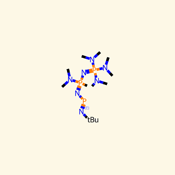 CN(C)P(C)(=N/P=N/C(C)(C)C)N=P(N(C)C)(N(C)C)N(C)C